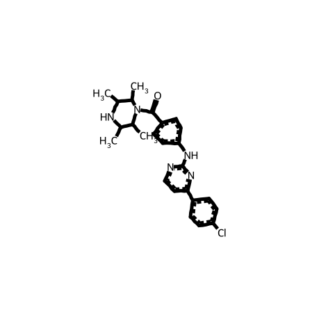 CC1NC(C)C(C)N(C(=O)c2ccc(Nc3nccc(-c4ccc(Cl)cc4)n3)cc2)C1C